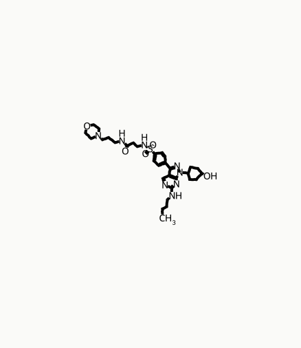 CCCCNc1ncc2c(-c3ccc(S(=O)(=O)NCCC(=O)NCCCN4CCOCC4)cc3)nn(C3CCC(O)CC3)c2n1